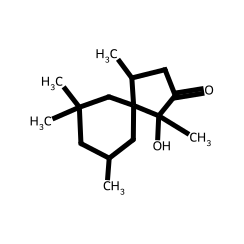 CC1CC(C)(C)CC2(C1)C(C)CC(=O)C2(C)O